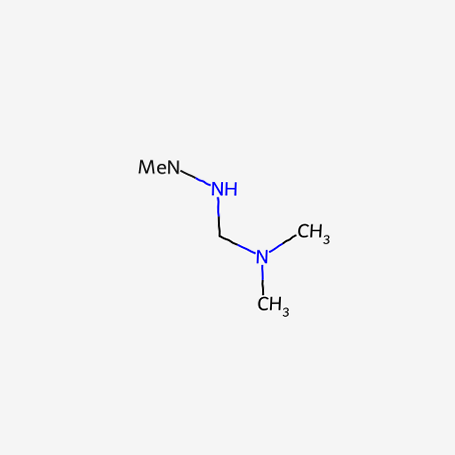 CNNCN(C)C